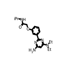 CCN(CC)c1cc(N)nc(-c2cccc(OCC(=O)NC(C)C)c2)n1